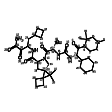 CN1CCN(C(=O)[C@@H](NC(=O)N[C@H](C(=O)N2C[C@]3(C[C@H]2C(=O)NC(CC2CCC2)C(=O)C(N)=O)C(C)(C)C32CCC2)C(C)(C)C)C2CCCCC2)C(C)(C)C1